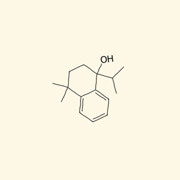 CC(C)C1(O)CCC(C)(C)c2ccccc21